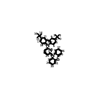 CC(C)(C)c1ccc2c(c1)c1cc(C(C)(C)C)ccc1n2-c1cccc(N2c3ccccc3Sc3ccccc32)n1